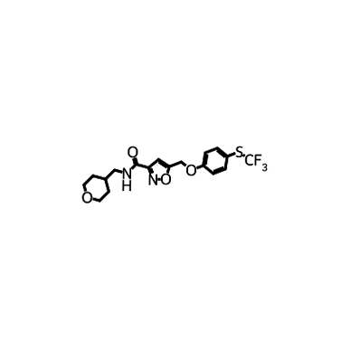 O=C(NCC1CCOCC1)c1cc(COc2ccc(SC(F)(F)F)cc2)on1